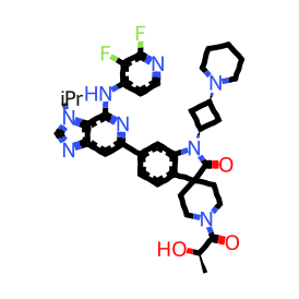 CC(C)n1cnc2cc(-c3ccc4c(c3)N([C@H]3C[C@@H](N5CCCCC5)C3)C(=O)C43CCN(C(=O)[C@@H](C)O)CC3)nc(Nc3ccnc(F)c3F)c21